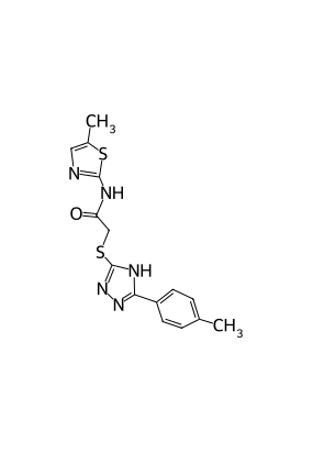 Cc1ccc(-c2nnc(SCC(=O)Nc3ncc(C)s3)[nH]2)cc1